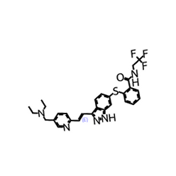 CCN(CC)Cc1ccc(/C=C/c2n[nH]c3cc(Sc4ccccc4C(=O)NCC(F)(F)F)ccc23)nc1